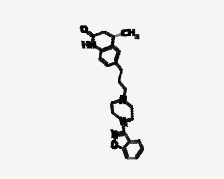 C[C@H]1CC(=O)Nc2ccc(CCCN3CCN(c4noc5ccccc45)CC3)cc21